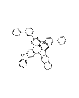 c1ccc(-c2ccc(-c3nc(-c4cccc(-c5ccccc5)c4)nc(-c4cc5oc6ccccc6c5cc4-n4c5ccccc5c5cc6ccccc6cc54)n3)cc2)cc1